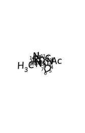 CC(=O)N(C)c1ccccc1-c1ccc2ncc(C)n2n1